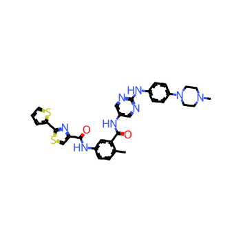 Cc1ccc(NC(=O)c2csc(-c3cccs3)n2)cc1C(=O)Nc1cnc(Nc2ccc(N3CCN(C)CC3)cc2)nc1